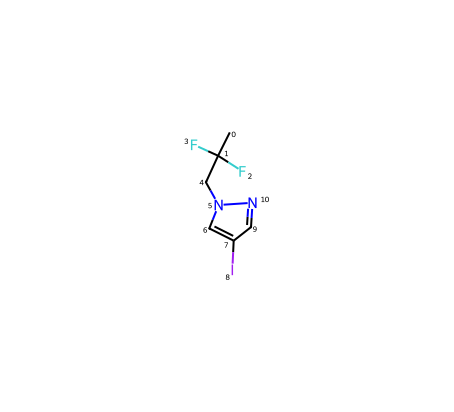 CC(F)(F)Cn1cc(I)cn1